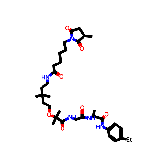 CCc1ccc(NC(=O)C(C)NC(=O)CNC(=O)C(C)(C)OCCC(C)(C)CCNC(=O)CCCCCN2C(=O)CC(C)C2=O)cc1